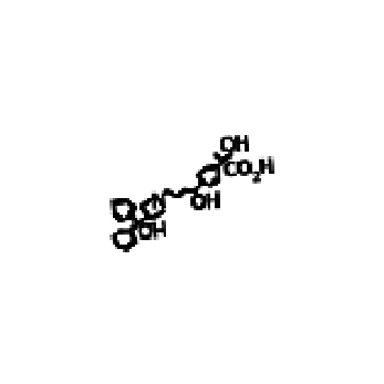 CC(CO)(C(=O)O)c1ccc(C(O)CCCN2CCC(C(O)(c3ccccc3)c3ccccc3)CC2)cc1